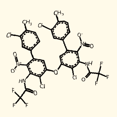 Cc1ccc(-c2cc(Oc3cc(-c4ccc(C)c(Cl)c4)c([N+](=O)[O-])c(NC(=O)C(F)(F)F)c3Cl)c(Cl)c(NC(=O)C(F)(F)F)c2[N+](=O)[O-])cc1Cl